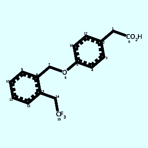 O=C(O)Cc1ccc(OCc2ccccc2CC(F)(F)F)cc1